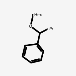 [CH2]CCC(OCCCCCC)c1ccccc1